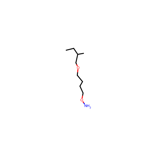 CCC(C)COCCCCON